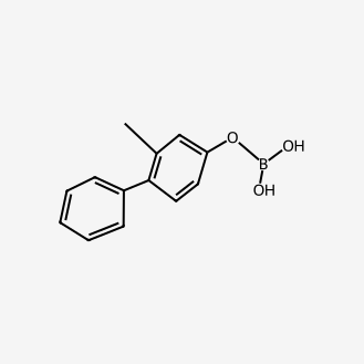 Cc1cc(OB(O)O)ccc1-c1ccccc1